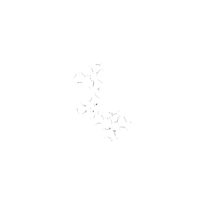 c1ccc(-n2c3ccccc3c3ccc(-c4ccc5c(c4)c4ccccc4n5-c4cccc(-c5ncc6cccc7c6c5-c5ccccc5-7)c4)cc32)cc1